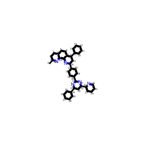 Cc1ccc2ccc3c(-c4ccccc4)cc(-c4ccc(-c5nc(-c6ccccc6)cc(-c6ccccn6)n5)cc4)nc3c2n1